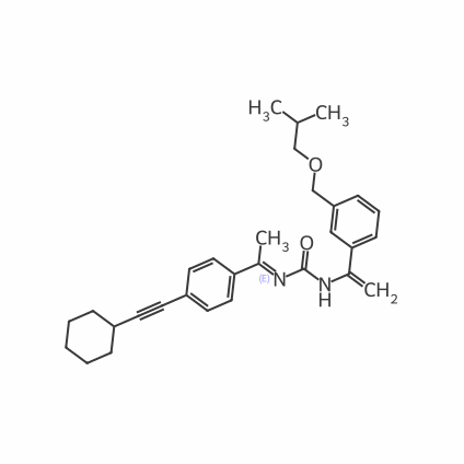 C=C(NC(=O)/N=C(\C)c1ccc(C#CC2CCCCC2)cc1)c1cccc(COCC(C)C)c1